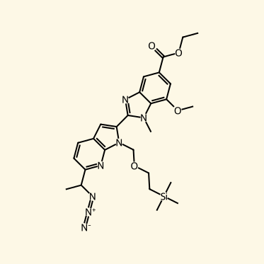 CCOC(=O)c1cc(OC)c2c(c1)nc(-c1cc3ccc(C(C)N=[N+]=[N-])nc3n1COCC[Si](C)(C)C)n2C